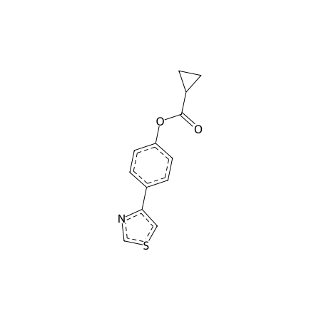 O=C(Oc1ccc(-c2cscn2)cc1)C1CC1